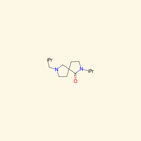 CC(C)CN1CCC2(CCN(C(C)C)C2=O)C1